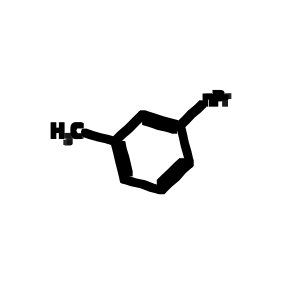 [CH2]CCc1cccc(C)c1